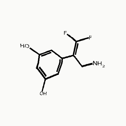 NCC(=C(F)F)c1cc(O)cc(O)c1